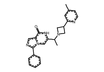 Cc1ccnc(C2CN(C(C)c3cn4c(-c5ccccc5)ncc4c(=O)[nH]3)C2)c1